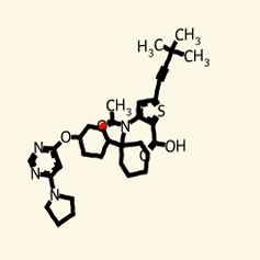 CC(=O)N(c1cc(C#CC(C)(C)C)sc1C(=O)O)C1(C2CCC(Oc3cc(N4CCCC4)ncn3)CC2)CCCCC1